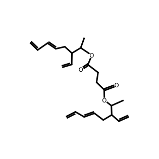 C=CC=CCC(C=C)C(C)OC(=O)CCC(=O)OC(C)C(C=C)CC=CC=C